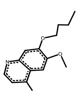 CCCCOc1cc2nccc(C)c2cc1OC